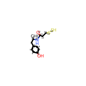 O=CC(Cc1ccc(O)cc1)NC(=O)CCSS